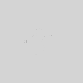 CC(O)c1ccccc1.CCO